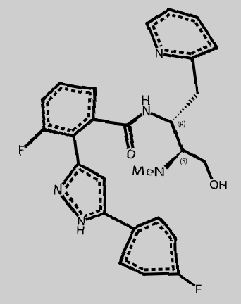 CN[C@H](CO)[C@@H](Cc1ccccn1)NC(=O)c1cccc(F)c1-c1cc(-c2ccc(F)cc2)[nH]n1